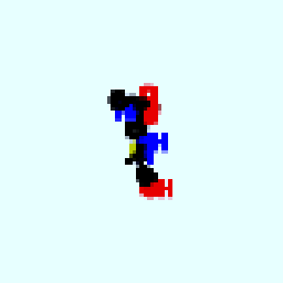 COC(=O)[C@H](Cc1ccccc1)NC(=O)c1cccc(Nc2nc(-c3ccc(O)cc3)c(C)s2)c1